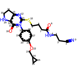 N#CCCNC(=O)CCCSc1nc2c(c(=O)n1-c1ccc(OCC3CC3)cc1)NCC2